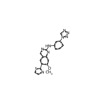 COc1cc2nc(Nc3cccc(-n4cnnn4)c3)ncc2cc1-c1nccs1